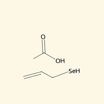 C=CC[SeH].CC(=O)O